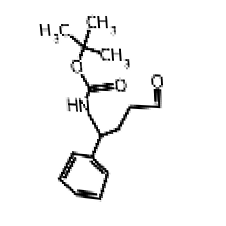 CC(C)(C)OC(=O)NC(CCC=O)c1ccccc1